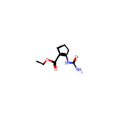 CCOC(=O)C1=C(NC(N)=O)CCC1